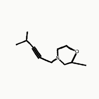 CC(C)C#CCN1CCOC(C)C1